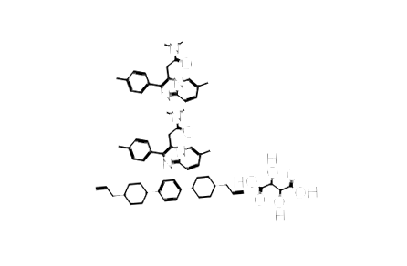 C=CC[C@H]1CC[C@H](c2ccc([C@H]3CC[C@H](CC=C)CC3)cc2)CC1.Cc1ccc(-c2nc3ccc(C)cn3c2CC(=O)N(C)C)cc1.Cc1ccc(-c2nc3ccc(C)cn3c2CC(=O)N(C)C)cc1.O=C(O)C(O)C(O)C(=O)O